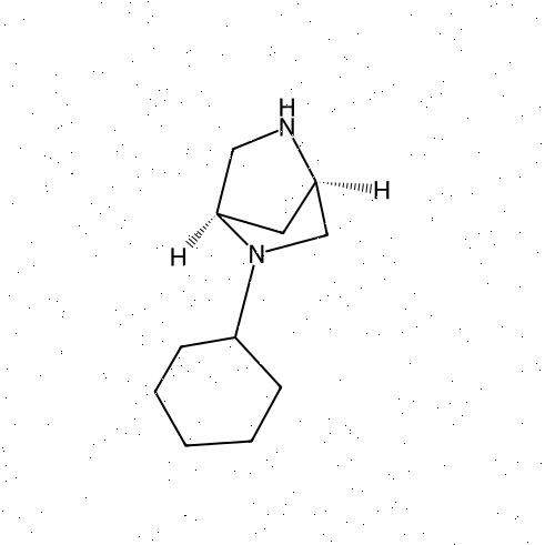 C1CCC(N2C[C@H]3C[C@@H]2CN3)CC1